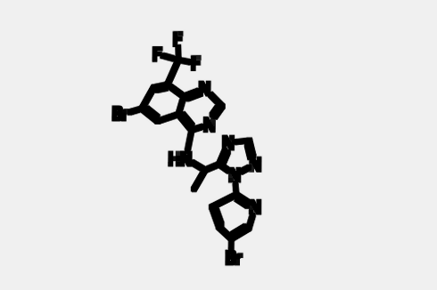 CC(Nc1ncnc2c(C(F)(F)F)cc(Br)cc12)c1ncnn1-c1ccc(Br)cn1